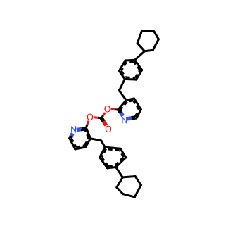 O=C(Oc1ncccc1Cc1ccc(C2CCCCC2)cc1)Oc1ncccc1Cc1ccc(C2CCCCC2)cc1